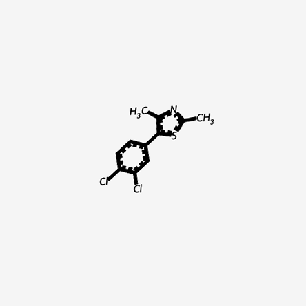 Cc1nc(C)c(-c2ccc(Cl)c(Cl)c2)s1